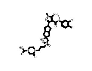 Cn1nc(C2CC3CC(O)(CS(=O)(=O)CCCN4CCN(C(=O)O)CC4=O)CC3C2)c(C(=O)Nc2ccc(F)c(Cl)c2)c1N